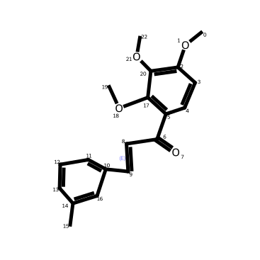 COc1ccc(C(=O)/C=C/c2cccc(C)c2)c(OC)c1OC